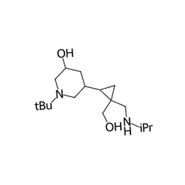 CC(C)NCC1(CO)CC1C1CC(O)CN(C(C)(C)C)C1